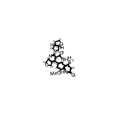 COc1cc(-c2c3c(nc(N4C[C@H]5CCO[C@H]5C4)c2C(N)=O)COC3)cc2c(C)cc(=O)[nH]c12